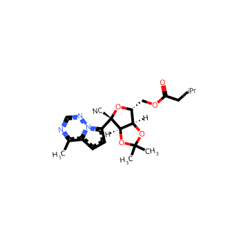 Cc1ncnn2c([C@]3(C#N)O[C@H](COC(=O)CC(C)C)[C@H]4OC(C)(C)O[C@H]43)ccc12